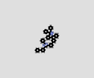 c1ccc(-c2cccc(-c3cc(-c4cccc(-c5cccc(-c6c(-c7ccccc7)n7nc(-c8ccccc8)c(-c8ccccc8)c7c7ccccc67)c5)c4)nc(-c4ccccc4)n3)c2)cc1